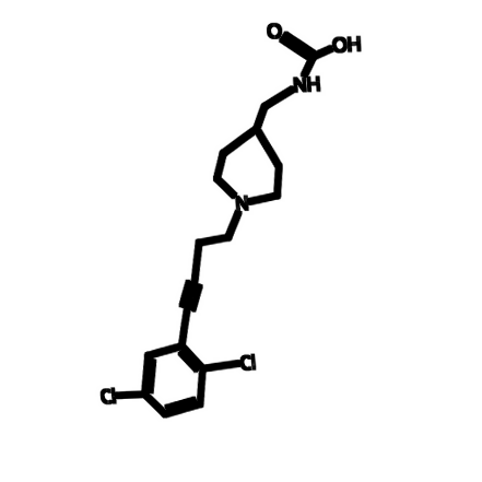 O=C(O)NCC1CCN(CCC#Cc2cc(Cl)ccc2Cl)CC1